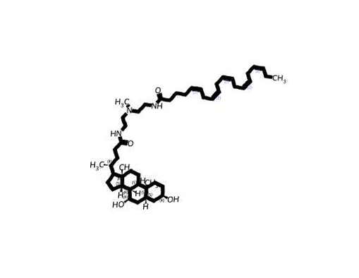 CC/C=C\C/C=C\C/C=C\C/C=C\C/C=C\CCCC(=O)NCCN(C)CCNC(=O)CC[C@@H](C)C1CC[C@H]2[C@@H]3[C@H](O)C[C@@H]4C[C@H](O)CC[C@]4(C)[C@H]3CC[C@]12C